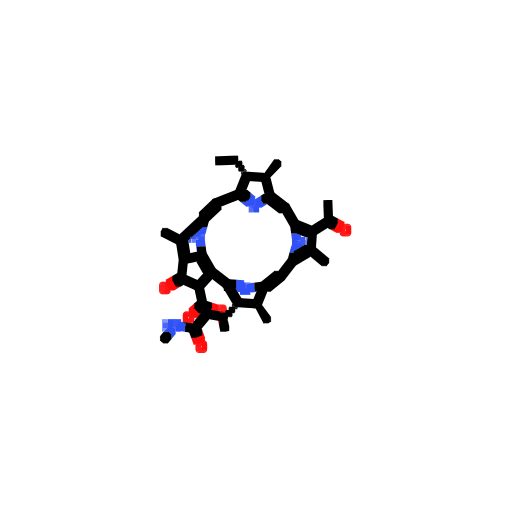 CC[C@H]1c2cc3[nH]c4c(c3C)C(=O)C(C(=O)OC)c4c3nc(cc4[nH]c(cc(n2)[C@@H]1C)c(C(C)=O)c4C)[C@@H](C)[C@@H]3CCC(=O)NC